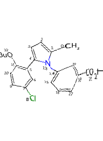 Cc1ccc(-c2cc(Cl)ccc2OCC(C)C)n1-c1cccc(C(=O)O)c1